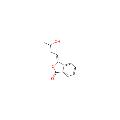 CC(O)C/C=C1\OC(=O)c2ccccc21